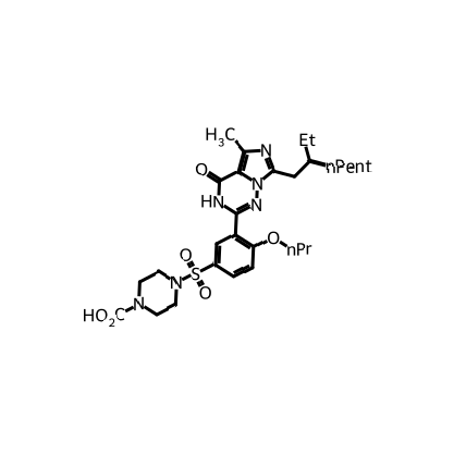 CCCCCC(CC)Cc1nc(C)c2c(=O)[nH]c(-c3cc(S(=O)(=O)N4CCN(C(=O)O)CC4)ccc3OCCC)nn12